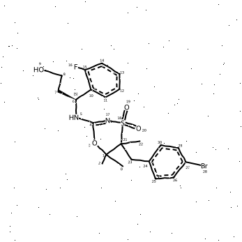 CC1(C)OC(N[C@@H](CCO)c2ccccc2F)=NS(=O)(=O)C1(C)Cc1ccc(Br)cc1